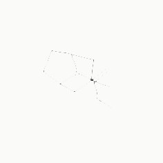 CCNC(=O)N1C2CCC1CC(C)C2